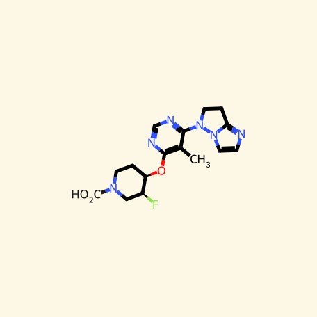 Cc1c(O[C@@H]2CCN(C(=O)O)C[C@@H]2F)ncnc1N1CCc2nccn21